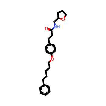 O=C(CCc1ccc(OCCCCCc2ccccc2)cc1)NCC1CCCO1